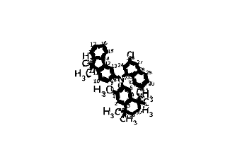 Cc1cc2c(cc1N(c1ccc3c(c1)-c1ccccc1C3(C)C)c1cc(Cl)cc3ccccc13)C(C)(C)CCC2(C)C